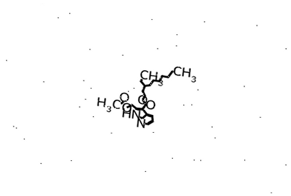 CCCCCCCC(CC)CCOC(=O)c1c(COC(C)=O)[nH]c2ncccc12